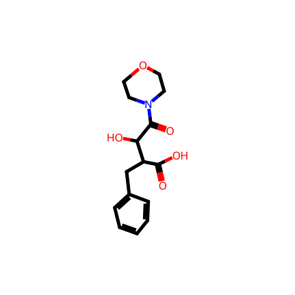 O=C(O)C(Cc1ccccc1)C(O)C(=O)N1CCOCC1